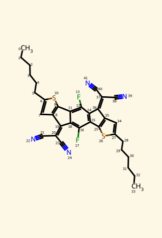 CCCCCCc1cc2c(s1)-c1c(F)c3c(c(F)c1C2=C(C#N)C#N)-c1sc(CCCCCC)cc1C3=C(C#N)C#N